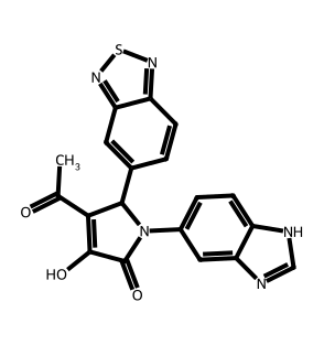 CC(=O)C1=C(O)C(=O)N(c2ccc3[nH]cnc3c2)C1c1ccc2nsnc2c1